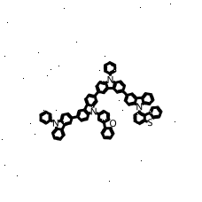 c1ccc(-n2c3ccccc3c3cc(-c4ccc5c(c4)c4ccc(-c6ccc7c(c6)c6cc(-c8ccc9c(c8)c8ccccc8n9-c8cccc9sc%10ccccc%10c89)ccc6n7-c6ccccc6)cc4n5-c4ccc5oc6ccccc6c5c4)ccc32)cc1